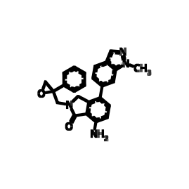 Cn1ncc2ccc(-c3ccc(N)c4c3CN(CC3(c5ccccc5)CO3)C4=O)cc21